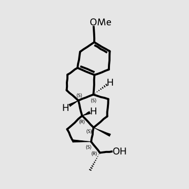 COC1=CCC2=C(CC[C@@H]3[C@@H]2CC[C@@]2(C)[C@@H]3CC[C@@H]2[C@@H](C)O)C1